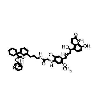 COc1cc(NCC(=O)NCCCc2cccc(C3(C(=O)O[C@H]4CN5CCC4CC5)CCCCC3)c2)c(Cl)cc1CNCC(O)c1ccc(O)c2[nH]c(=O)ccc12